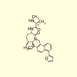 CN[C@@H](C)C(=O)NC1CCc2ccccc2N(Cc2c(OC)ccc3c(-c4ccco4)cccc23)C1=O